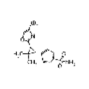 CC(C)(C)c1coc([C@H]2[C@H](c3ccc(S(N)(=O)=O)cc3)C2(C)C)n1